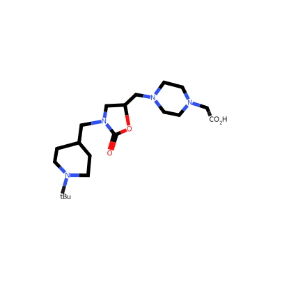 CC(C)(C)N1CCC(CN2CC(CN3CCN(CC(=O)O)CC3)OC2=O)CC1